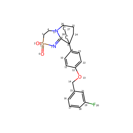 O=S1(=O)CCN2C(=N1)C1(c3ccc(OCc4cccc(F)c4)cc3)CCC2CC1